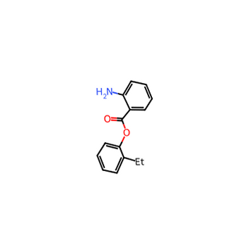 CCc1ccccc1OC(=O)c1ccccc1N